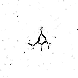 CCCCc1cc(PC)c(C)c(PC)c1